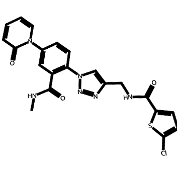 CNC(=O)c1cc(-n2ccccc2=O)ccc1-n1cc(CNC(=O)c2ccc(Cl)s2)nn1